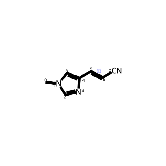 Cn1cnc(/C=C/C#N)c1